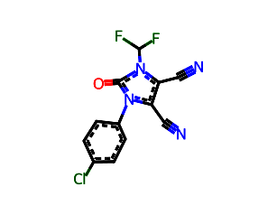 N#Cc1c(C#N)n(C(F)F)c(=O)n1-c1ccc(Cl)cc1